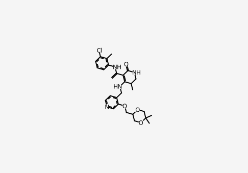 C=C(Nc1cccc(Cl)c1C)C1=C(NCc2ccncc2OCC2COC(C)(C)CO2)C(C)CNC1=O